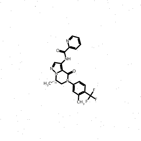 Cc1cc(N2C[C@H](C)n3ncc(NC(=O)c4ccccn4)c3C2=O)ccc1C(F)(F)F